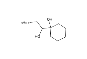 CCCCCCCC(O)C1(O)CCCCC1